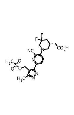 Cn1nnc(-c2ccc(N3C[C@@H](CC(=O)O)CC(F)(F)C3)c(C#N)n2)c1COS(C)(=O)=O